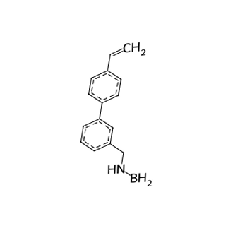 BNCc1cccc(-c2ccc(C=C)cc2)c1